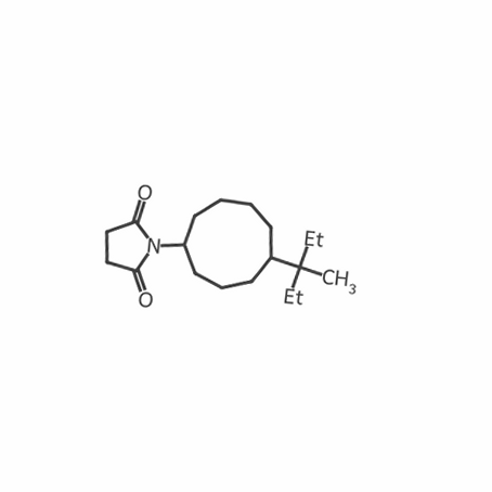 CCC(C)(CC)C1CCCCC(N2C(=O)CCC2=O)CCC1